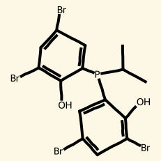 CC(C)P(c1cc(Br)cc(Br)c1O)c1cc(Br)cc(Br)c1O